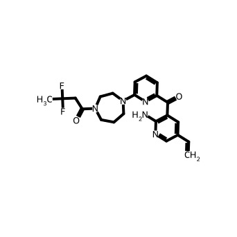 C=Cc1cnc(N)c(C(=O)c2cccc(N3CCCN(C(=O)CC(C)(F)F)CC3)n2)c1